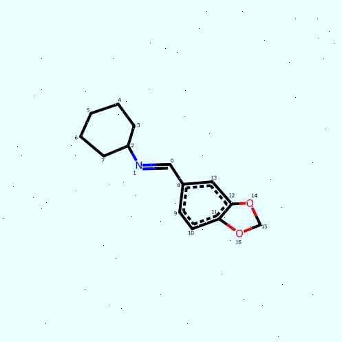 C(=N\C1CCCCC1)/c1ccc2c(c1)OCO2